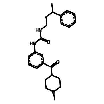 CC(CCNC(=O)Nc1cccc(C(=O)C2CCN(C)CC2)c1)c1ccccc1